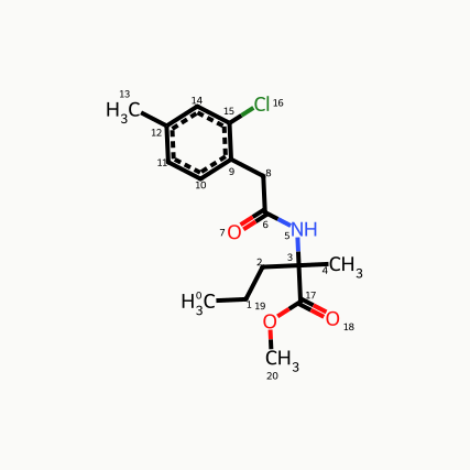 CCCC(C)(NC(=O)Cc1ccc(C)cc1Cl)C(=O)OC